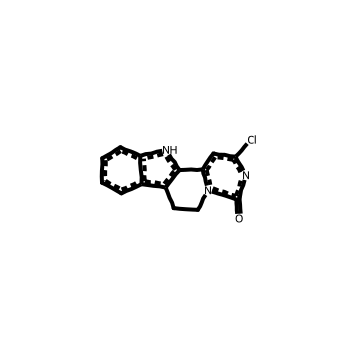 O=c1nc(Cl)cc2n1CCc1c-2[nH]c2ccccc12